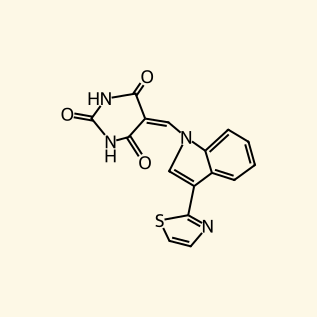 O=C1NC(=O)C(=Cn2cc(-c3nccs3)c3ccccc32)C(=O)N1